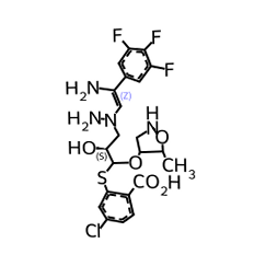 CC1ONCC1OC(Sc1cc(Cl)ccc1C(=O)O)[C@@H](O)CN(N)/C=C(\N)c1cc(F)c(F)c(F)c1